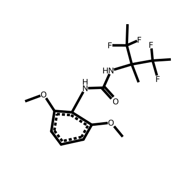 COc1cccc(OC)c1NC(=O)NC(C)(C(C)(F)F)C(C)(F)F